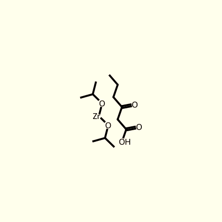 CC(C)[O][Zr][O]C(C)C.CCCC(=O)CC(=O)O